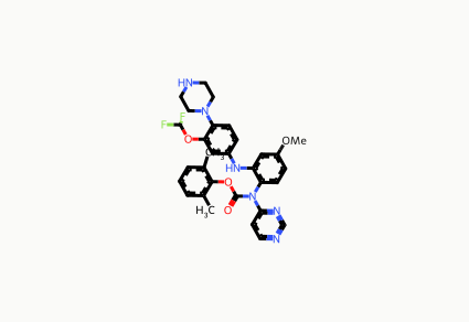 COc1ccc(N(C(=O)Oc2c(C)cccc2C)c2ccncn2)c(Nc2ccc(N3CCNCC3)c(OC(F)F)c2)c1